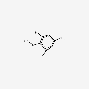 Nc1cc(F)c(OC(F)(F)F)c(Br)c1